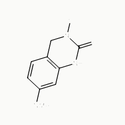 CNc1ccc2c(c1)NC(=O)N(C)C2